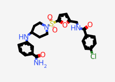 NC(=O)c1cccc(NC2CCN(S(=O)(=O)c3ccc(CNC(=O)c4ccc(Cl)cc4)o3)CC2)c1